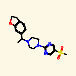 CC(c1ccc2c(c1)OCC2)N1CCN(c2ncc(S(C)(=O)=O)cn2)CC1